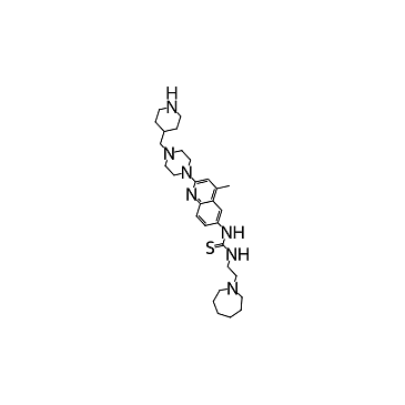 Cc1cc(N2CCN(CC3CCNCC3)CC2)nc2ccc(NC(=S)NCCN3CCCCCC3)cc12